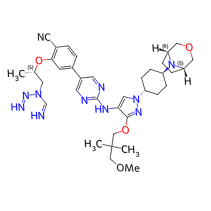 COCC(C)(C)COc1nn([C@H]2CC[C@H](N3[C@@H]4CC[C@H]3COC4)CC2)cc1Nc1ncc(-c2ccc(C#N)c(O[C@@H](C)CN(C=N)N=N)c2)cn1